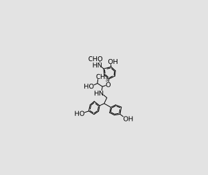 CC(O)C(NCC(c1ccc(O)cc1)c1ccc(O)cc1)Oc1ccc(O)c(NC=O)c1